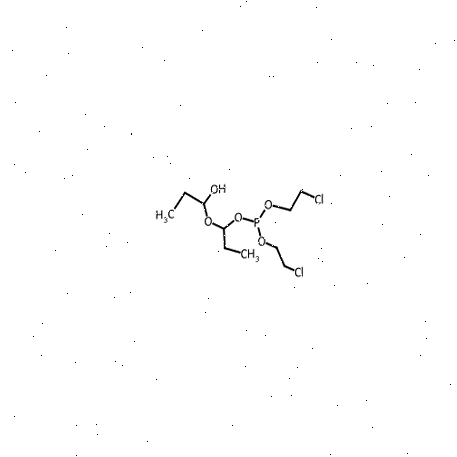 CCC(O)OC(CC)OP(OCCCl)OCCCl